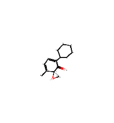 CC1=CC=C(C2CCCCC2)C(=O)[C@]12CO2